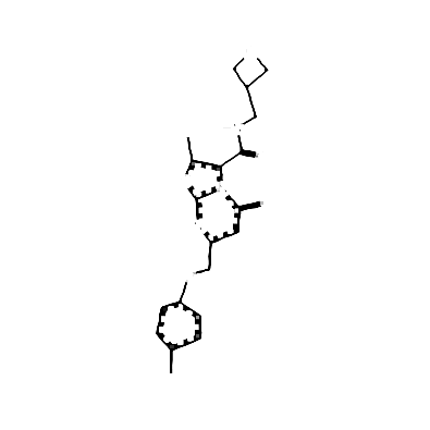 Cc1sc2nc(COc3ccc(F)cc3)cc(=O)n2c1C(=O)NCC1COC1